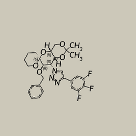 CC1(C)OC[C@H]2O[C@@]3(CCCCO3)[C@H](OCc3ccccc3)[C@@H](n3cc(-c4cc(F)c(F)c(F)c4)nn3)[C@H]2O1